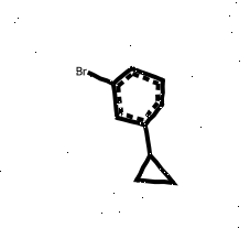 Brc1cccc([C]2CC2)c1